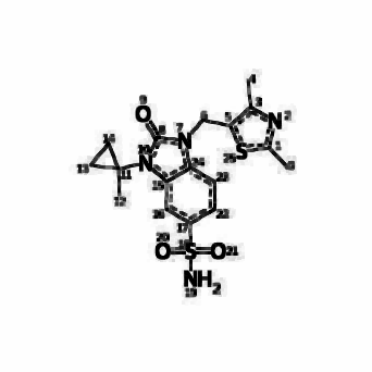 Cc1nc(C)c(Cn2c(=O)n(C3(C)CC3)c3cc(S(N)(=O)=O)ccc32)s1